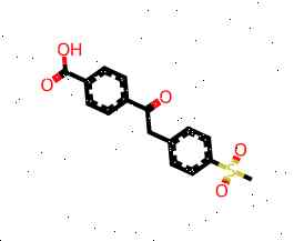 CS(=O)(=O)c1ccc(CC(=O)c2ccc(C(=O)O)cc2)cc1